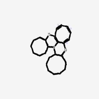 C1=C\C=C2\OC3CCCCCCCC3B3C2=C(\C=C/1)OC1CCCCCCC31